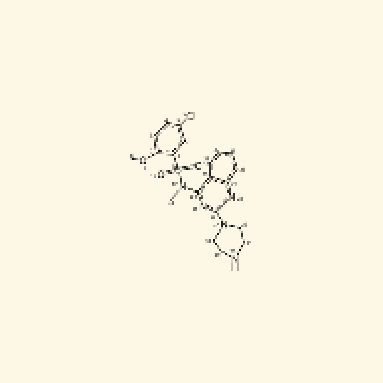 COc1ccc(Cl)cc1S(=O)(=O)N(C)c1nc(N2CCNCC2)nc2ccccc12